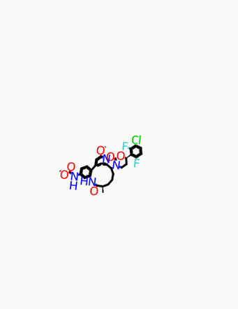 COC(=O)Nc1ccc2c(c1)NC(=O)[C@H](C)CCC[C@H](N1CC[C@H](c3c(F)ccc(Cl)c3F)OC1=O)c1cc-2cc(OC)n1